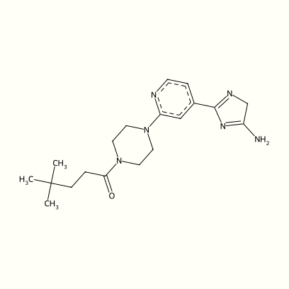 CC(C)(C)CCC(=O)N1CCN(c2cc(C3=NCC(N)=N3)ccn2)CC1